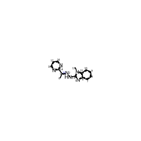 C/C(=N\Nc1nc2ccccc2n1C)c1ncccn1